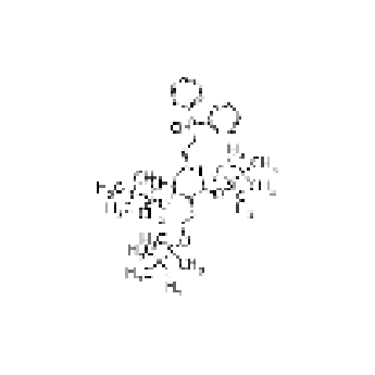 CC(C)(C)[Si](C)(C)OCC=C1[C@H](O[Si](C)(C)C(C)(C)C)CC(=CCP(=O)(c2ccccc2)c2ccccc2)C[C@H]1O[Si](C)(C)C(C)(C)C